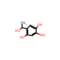 CC(O)c1cc(O)c(O)cc1O